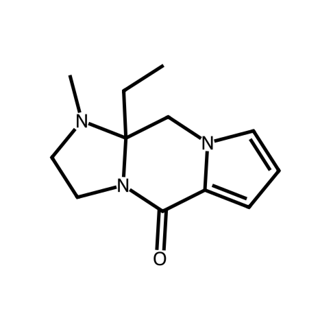 CCC12Cn3cccc3C(=O)N1CCN2C